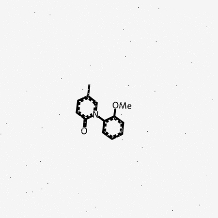 COc1ccccc1-n1cc(C)ccc1=O